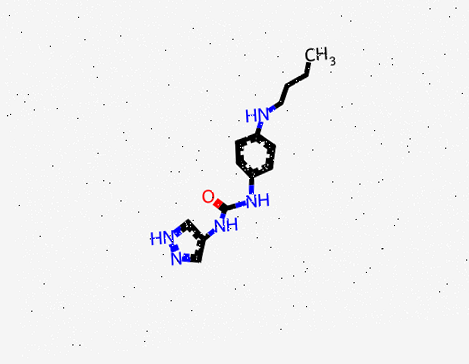 CCCCNc1ccc(NC(=O)Nc2cn[nH]c2)cc1